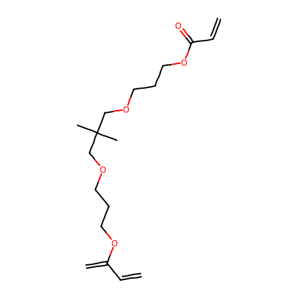 C=CC(=C)OCCCOCC(C)(C)COCCCOC(=O)C=C